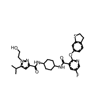 CC(C)c1cc(C(=O)NC2CCC(NC(=O)c3cc(F)cnc3Oc3ccc4c(c3)SCC4)CC2)nn1CCO